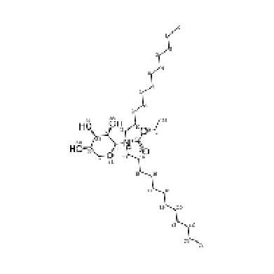 CCCCCCCCCCCC[N+](CCCCCCCCCCCC)(C(=O)OCC)C1OC[C@@H](O)[C@@H](O)[C@H]1O